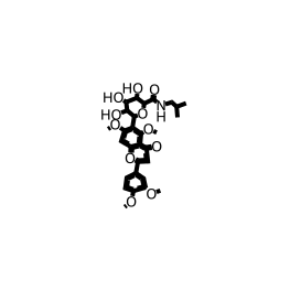 COc1ccc(-c2cc(=O)c3c(OC)c(C4OC(C(=O)NCC(C)C)C(O)C(O)C4O)c(OC)cc3o2)cc1OC